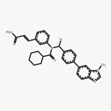 [2H]C(c1ccc(-c2ccc3ncn(C)c3c2)cc1)N(C(=O)C1CCCCC1)c1cccc(/C=C/C(=O)OC)c1